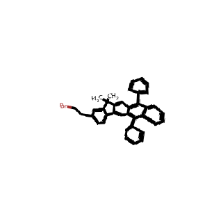 CC1(C)c2cc(CCBr)ccc2-c2cc3c(-c4ccccc4)c4ccccc4c(-c4ccccc4)c3cc21